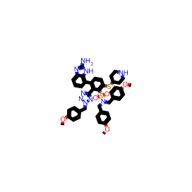 COc1ccc(CN(Cc2ccc(OC)cc2)S(=O)(=O)c2c(SC3CCNCC3)ccc(-c3cccc4nc(N)[nH]c34)c2-c2nnn(Cc3ccc(OC)cc3)n2)cc1